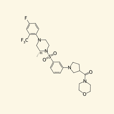 C[C@@H]1CN(c2ccc(F)cc2C(F)(F)F)CCN1S(=O)(=O)c1cccc(N2CCC(C(=O)N3CCOCC3)C2)c1